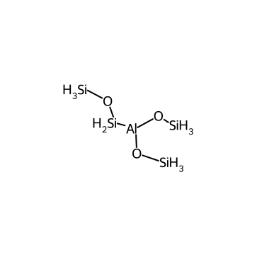 [SiH3]O[SiH2][Al]([O][SiH3])[O][SiH3]